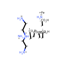 CC(=O)O.CC(=O)O.CC(=O)O.CC(=O)O.CC(=O)O.N.N.NCCNCCN.[Fe]